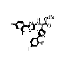 CC(C)(C)OC(=O)N(Nc1csc(-c2ccc(F)cc2F)n1)c1csc(-c2ccc(F)cc2F)n1